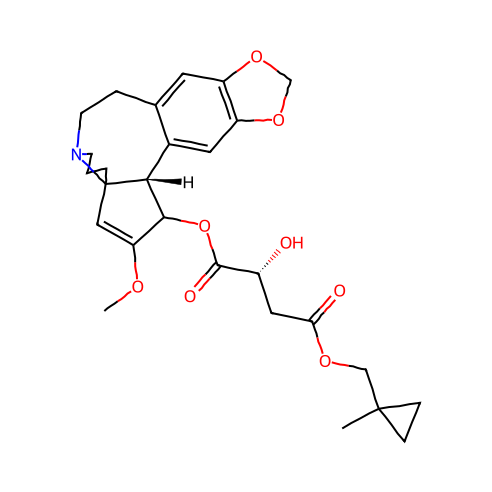 COC1=CC23CCCN2CCc2cc4c(cc2[C@@H]3C1OC(=O)[C@H](O)CC(=O)OCC1(C)CC1)OCO4